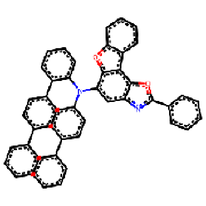 c1ccc(-c2ccc(-c3ccccc3N(c3ccc(-c4ccccc4)cc3)c3cc4nc(-c5ccccc5)oc4c4c3oc3ccccc34)cc2)cc1